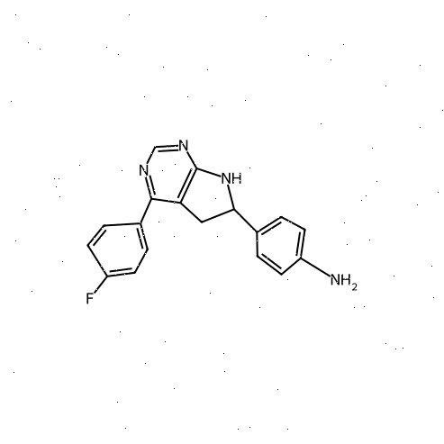 Nc1ccc(C2Cc3c(ncnc3-c3ccc(F)cc3)N2)cc1